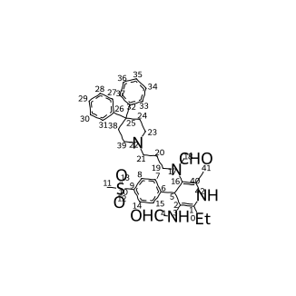 CCC1=C(NC=O)C(c2ccc(S(C)(=O)=O)cc2)C(N(C=O)CCCN2CCC(c3ccccc3)(c3ccccc3)CC2)=C(C)N1